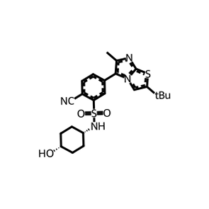 Cc1nc2sc(C(C)(C)C)cn2c1-c1ccc(C#N)c(S(=O)(=O)N[C@H]2CC[C@@H](O)CC2)c1